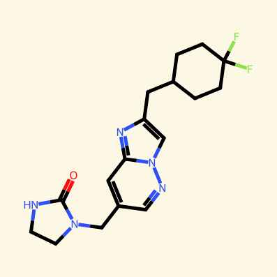 O=C1NCCN1Cc1cnn2cc(CC3CCC(F)(F)CC3)nc2c1